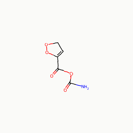 NC(=O)OC(=O)C1=CCOO1